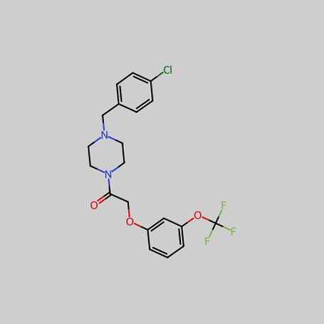 O=C(COc1cccc(OC(F)(F)F)c1)N1CCN(Cc2ccc(Cl)cc2)CC1